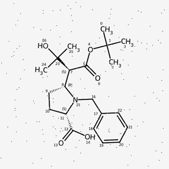 CC(C)(C)OC(=O)[C@@H]([C@H]1CC[C@@H](C(=O)O)N1Cc1ccccc1)C(C)(C)O